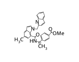 COC(=O)c1ccc([C@H](C)NC(=O)c2cc(C)cc3ccn(Cc4ccc5ccccc5n4)c23)cc1